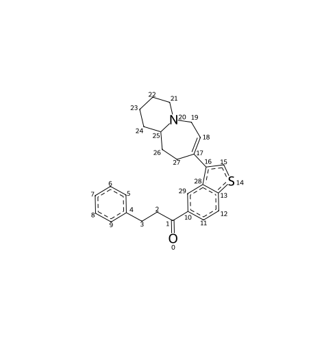 O=C(CCc1ccccc1)c1ccc2scc(C3=CCN4CCCCC4CC3)c2c1